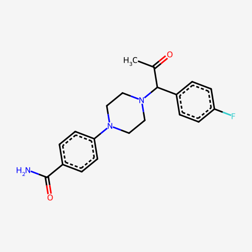 CC(=O)C(c1ccc(F)cc1)N1CCN(c2ccc(C(N)=O)cc2)CC1